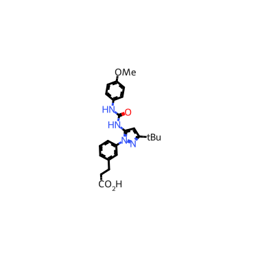 COc1ccc(NC(=O)Nc2cc(C(C)(C)C)nn2-c2cccc(CCC(=O)O)c2)cc1